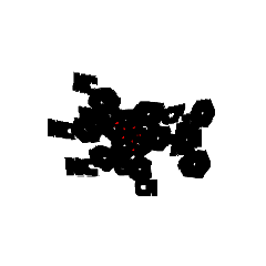 N#Cc1ccc(-c2ccc3c(c2)c2cc(-c4ccc(C#N)cc4C#N)ccc2n3-c2ccc(-c3nc(-c4ccccc4)nc(-c4ccccc4)n3)cc2-c2c(-n3c4ccc(-c5ccc(C#N)cc5C#N)cc4c4cc(-c5ccc(C#N)cc5C#N)ccc43)cccc2C(F)(F)F)c(C#N)c1